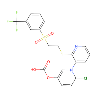 O=C(O)OC1=CN(c2cccnc2SCCS(=O)(=O)c2cccc(C(F)(F)F)c2)C(Cl)C=C1